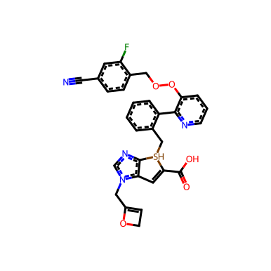 N#Cc1ccc(COOc2cccnc2-c2ccccc2C[SH]2C(C(=O)O)=Cc3c2ncn3CC2=CCO2)c(F)c1